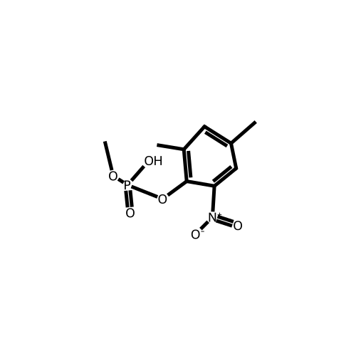 COP(=O)(O)Oc1c(C)cc(C)cc1[N+](=O)[O-]